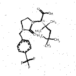 CC(C)(C)CC(C)(C)[C@@H](C(=O)O)N1CCN(Cc2ccc(C(F)(F)F)cc2)C1=O